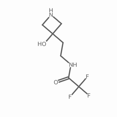 O=C(NCCC1(O)CNC1)C(F)(F)F